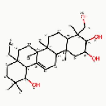 CC(=O)CC12CCC(C)(C)C(O)C1C1=CCC3C4(C)CC(O)C(O)C(C)(CO)C4CCC3(C)C1(C)CC2